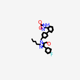 CCCCc1nc(-c2ccc(F)cc2)c(C=O)n1Cc1ccc(-c2ccccc2-c2noc(=O)[nH]2)cc1